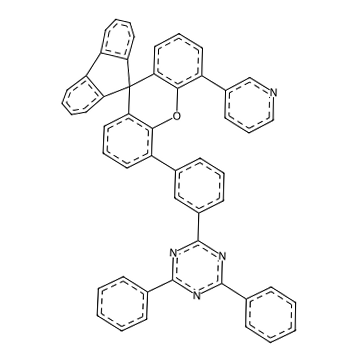 c1ccc(-c2nc(-c3ccccc3)nc(-c3cccc(-c4cccc5c4Oc4c(-c6cccnc6)cccc4C54c5ccccc5-c5ccccc54)c3)n2)cc1